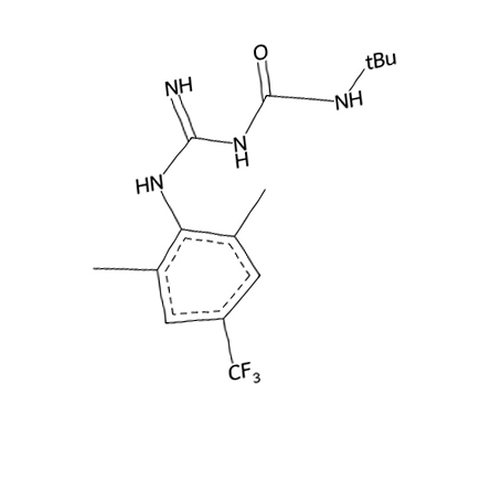 Cc1cc(C(F)(F)F)cc(C)c1NC(=N)NC(=O)NC(C)(C)C